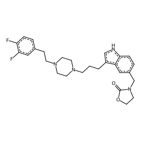 O=C1OCCN1Cc1ccc2[nH]cc(CCCN3CCN(CCc4ccc(F)c(F)c4)CC3)c2c1